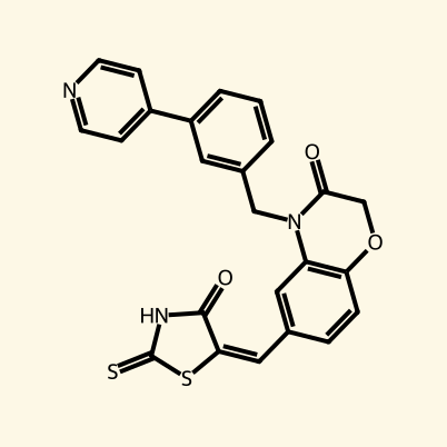 O=C1NC(=S)SC1=Cc1ccc2c(c1)N(Cc1cccc(-c3ccncc3)c1)C(=O)CO2